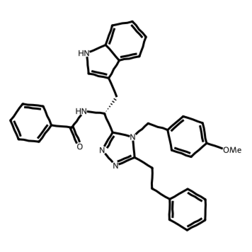 COc1ccc(Cn2c(CCc3ccccc3)nnc2[C@@H](Cc2c[nH]c3ccccc23)NC(=O)c2ccccc2)cc1